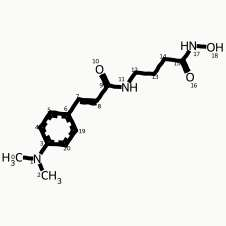 CN(C)c1ccc(C=CC(=O)NCCCC(=O)NO)cc1